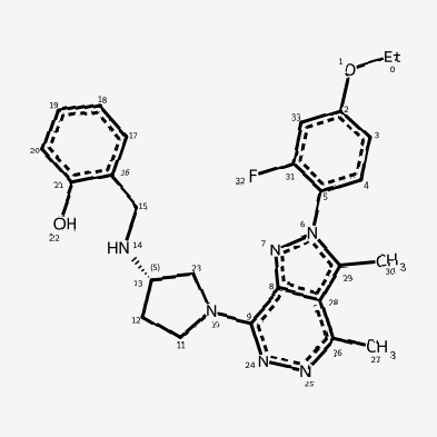 CCOc1ccc(-n2nc3c(N4CC[C@H](NCc5ccccc5O)C4)nnc(C)c3c2C)c(F)c1